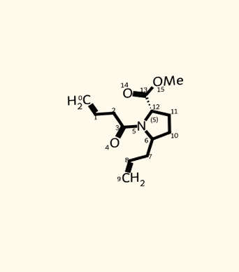 C=CCC(=O)N1C(CC=C)CC[C@H]1C(=O)OC